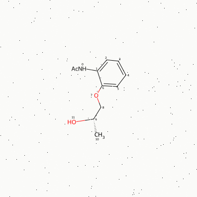 CC(=O)Nc1ccccc1OC[C@H](C)O